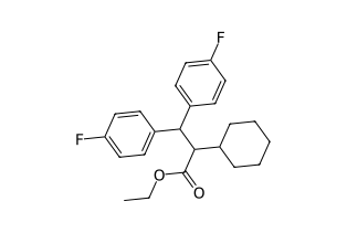 CCOC(=O)C(C1CCCCC1)C(c1ccc(F)cc1)c1ccc(F)cc1